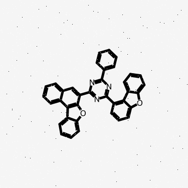 c1ccc(-c2nc(-c3cc4ccccc4c4c3oc3ccccc34)nc(-c3cccc4oc5ccccc5c34)n2)cc1